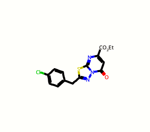 CCOC(=O)c1cc(=O)n2nc(Cc3ccc(Cl)cc3)sc2n1